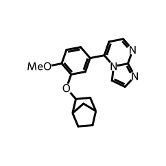 COc1ccc(-c2ccnc3nccn23)cc1OC1CC2CCC1C2